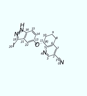 N#Cc1cnc2c(c1)CCC[C@H]2Oc1ccc2[nH]nc(I)c2c1